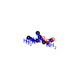 CC(N)(CCN1CCOCC1)C(=O)c1cccc(C(=O)Nc2ccc(N3CCCCC3)cc2-c2cc(/C(N)=C/N(N)Cc3ccccc3)ccn2)c1